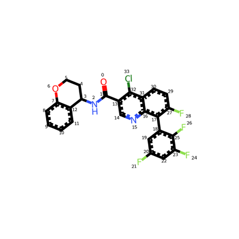 O=C(NC1CCOc2ccccc21)c1cnc2c(-c3cc(F)cc(F)c3F)c(F)ccc2c1Cl